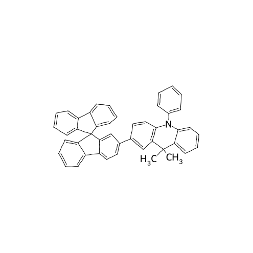 CC1(C)c2ccccc2N(c2ccccc2)c2ccc(-c3ccc4c(c3)C3(c5ccccc5-c5ccccc53)c3ccccc3-4)cc21